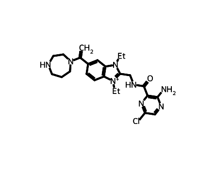 C=C(c1ccc2c(c1)n(CC)c(CNC(=O)c1nc(Cl)cnc1N)[n+]2CC)N1CCCNCC1